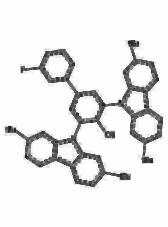 CC(C)(C)c1ccc2c3ccc(C(C)(C)C)cc3n(-c3cc(-c4cccc(F)c4)cc(-n4c5cc(C(C)(C)C)ccc5c5ccc(C(C)(C)C)cc54)c3C#N)c2c1